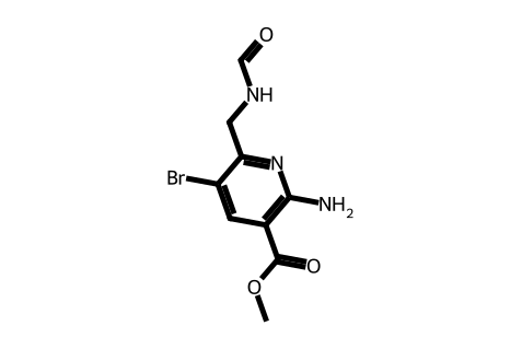 COC(=O)c1cc(Br)c(CNC=O)nc1N